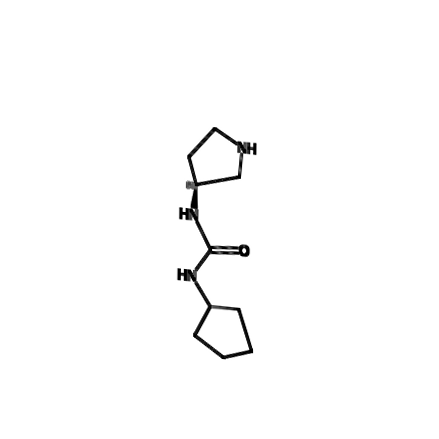 O=C(NC1CCCC1)N[C@H]1CCNC1